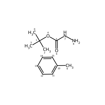 CC(C)(C)OC(=O)NN.Cc1ccccc1